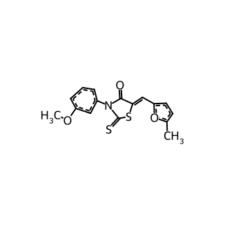 COc1cccc(N2C(=O)/C(=C/c3ccc(C)o3)SC2=S)c1